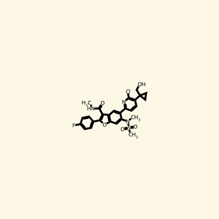 CNC(=O)c1c(-c2ccc(F)cc2)oc2cc(N(C)S(C)(=O)=O)c(-c3ccc(C4(CO)CC4)c(Cl)n3)cc12